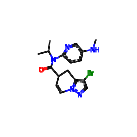 CNc1ccc(N(C(=O)C2C=Cn3ncc(Br)c3C2)C(C)C)nc1